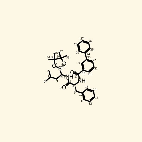 CC(C)CC(NC(=O)[C@H](Cc1ccccc1)NC(=O)c1cccc(-c2ccccc2)c1)B1OC(C)(C)C(C)(C)O1